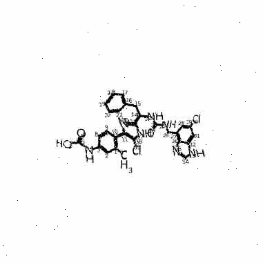 Cc1cc(NC(=O)O)ccc1-c1nc(C(Cc2ccccc2)NC(=O)NCc2cc(Cl)cc3[nH]cnc23)[nH]c1Cl